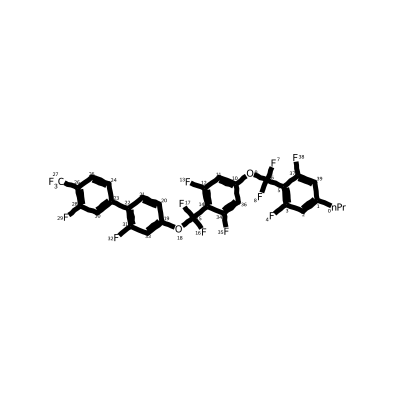 CCCc1cc(F)c(C(F)(F)Oc2cc(F)c(C(F)(F)Oc3ccc(-c4ccc(C(F)(F)F)c(F)c4)c(F)c3)c(F)c2)c(F)c1